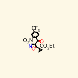 CCOC(=O)C1(c2oncc2C(=O)c2ccc(C(F)(F)F)cc2[N+](=O)[O-])CC1